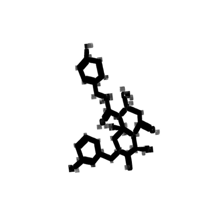 CCC(C)[C@H]1C(=O)N(Cc2cccc(Br)c2)C[C@H]2N1C(=O)CN(C)N2C(=O)NCc1ccc(F)cc1